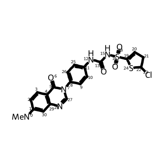 CNc1ccc2c(=O)n(-c3ccc(NC(=O)NS(=O)(=O)C4=CCC(Cl)S4)cc3)cnc2c1